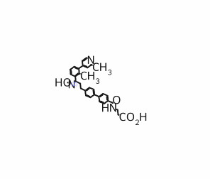 Cc1cc(-c2cccc(/C(CCc3ccc(-c4ccc(C(=O)NCCC(=O)O)cc4)cc3)=N\O)c2C)ccn1